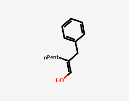 CCCCC/C(=C\O)Cc1ccccc1